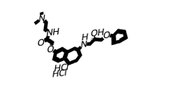 CN(C)CCNC(=O)COc1ccc2c(c1)CC(NC[C@H](O)COc1ccccc1)CCC2.Cl.Cl